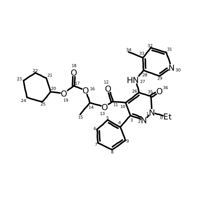 CCn1nc(-c2ccccc2)c(C(=O)OC(C)OC(=O)OC2CCCCC2)c(Nc2cnccc2C)c1=O